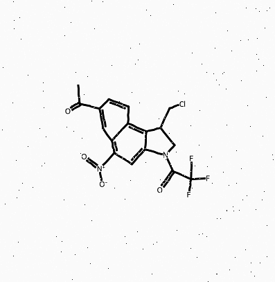 CC(=O)c1ccc2c3c(cc([N+](=O)[O-])c2c1)N(C(=O)C(F)(F)F)CC3CCl